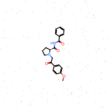 COc1ccc(C(=O)CN2CCC[C@H]2C(=O)NC(=O)c2ccccc2)cc1